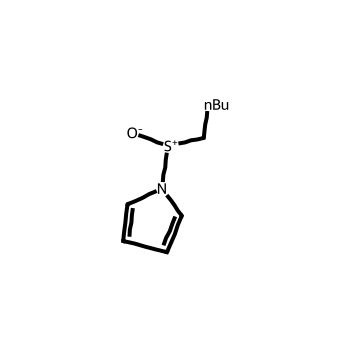 CCCCC[S+]([O-])n1cccc1